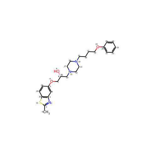 Cc1nc2cc(OC[C@H](O)CN3CCN(CCCCOc4ccccc4)CC3)ccc2s1